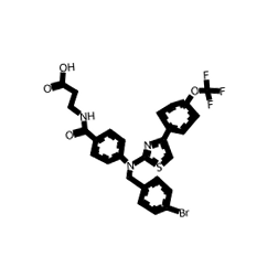 O=C(O)CCNC(=O)c1ccc(N(Cc2ccc(Br)cc2)c2nc(-c3ccc(OC(F)(F)F)cc3)cs2)cc1